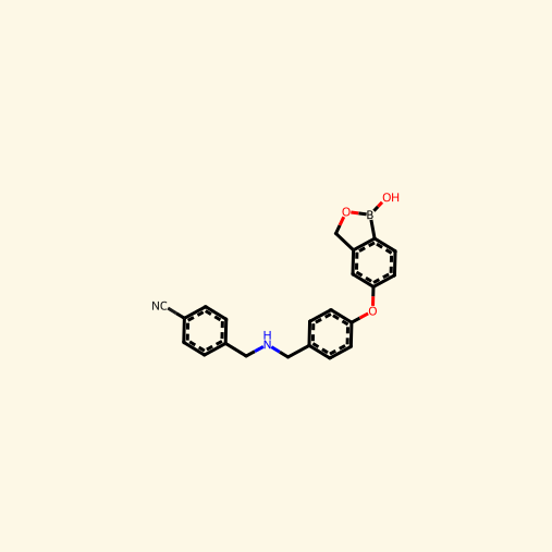 N#Cc1ccc(CNCc2ccc(Oc3ccc4c(c3)COB4O)cc2)cc1